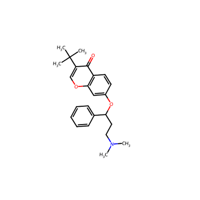 CN(C)CCC(Oc1ccc2c(=O)c(C(C)(C)C)coc2c1)c1ccccc1